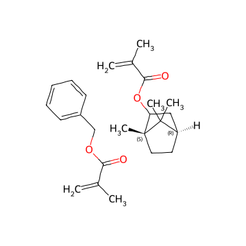 C=C(C)C(=O)OC1C[C@H]2CC[C@@]1(C)C2(C)C.C=C(C)C(=O)OCc1ccccc1